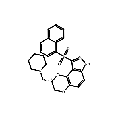 O=S(=O)(c1cccc2ccccc12)c1n[nH]c2ccc3c(c12)O[C@@H](CN1CCCCC1)CO3